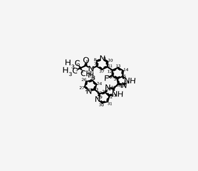 CC(C)(C)C(=O)Nc1cncc(-c2ccc3[nH]nc(-c4nc5c(-c6ccccn6)nccc5[nH]4)c3c2F)c1